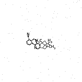 CC12CC3(C)C4(C)CC(c5cnc6c(ccc7c(C#N)cccc76)c51)C243